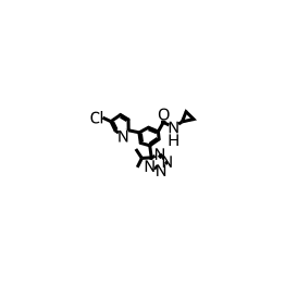 CC(C)C1(c2cc(C(=O)NC3CC3)cc(-c3ccc(Cl)cn3)c2)N=NN=N1